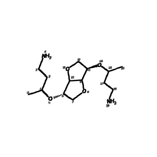 CC(CCN)O[C@H]1COC2C1OC[C@H]2OC(C)CCN